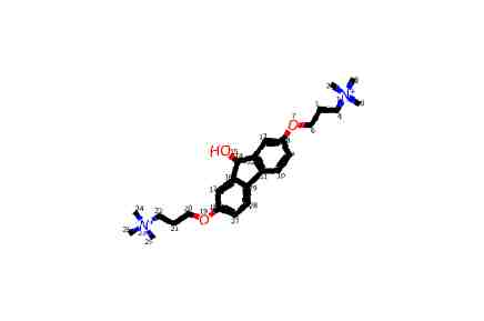 C[N+](C)(C)CCCOc1ccc2c(c1)C(O)c1cc(OCCC[N+](C)(C)C)ccc1-2